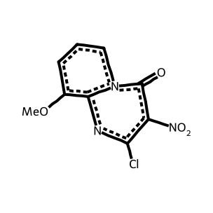 COc1cccn2c(=O)c([N+](=O)[O-])c(Cl)nc12